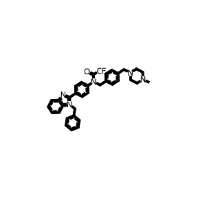 CN1CCN(Cc2ccc(CN(C(=O)C(F)(F)F)c3ccc(-c4nc5ccccc5n4Cc4ccccc4)cc3)cc2)CC1